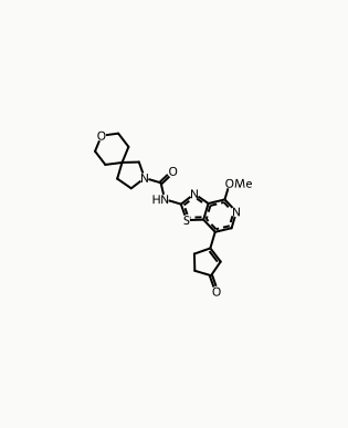 COc1ncc(C2=CC(=O)CC2)c2sc(NC(=O)N3CCC4(CCOCC4)C3)nc12